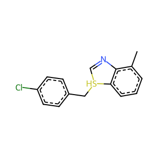 Cc1cccc2c1N=C[SH]2Cc1ccc(Cl)cc1